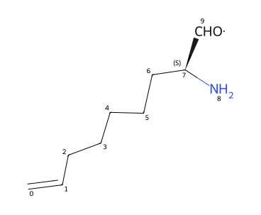 C=CCCCCC[C@H](N)[C]=O